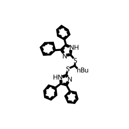 CCCCC(Sc1nc(-c2ccccc2)c(-c2ccccc2)[nH]1)Sc1nc(-c2ccccc2)c(-c2ccccc2)[nH]1